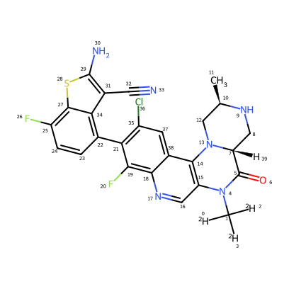 [2H]C([2H])([2H])N1C(=O)[C@H]2CN[C@H](C)CN2c2c1cnc1c(F)c(-c3ccc(F)c4sc(N)c(C#N)c34)c(Cl)cc21